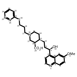 COc1ccc2nccc([C@H](O)CC[C@@H]3CCN(CCCSc4cccnn4)C[C@@H]3C(=O)O)c2c1